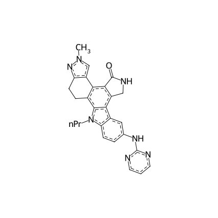 CCCn1c2ccc(Nc3ncccn3)cc2c2c3c(c4c(c21)CCc1nn(C)cc1-4)C(=O)NC3